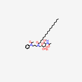 CCCCCCCCCCCCCCCCCC(=O)N(CCCN(C(C)=O)c1ccccc1)C[C@H]1O[C@H](OC)[C@@H](NC(C)=O)[C@@H](O)[C@@H]1O